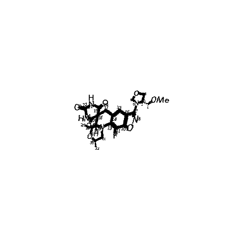 COC[C@H]1COCN1c1noc2c(F)c3c(cc12)CC1(C(=O)NC(=O)NC1=O)[C@H]1[C@H](C)O[C@H](C)CN31